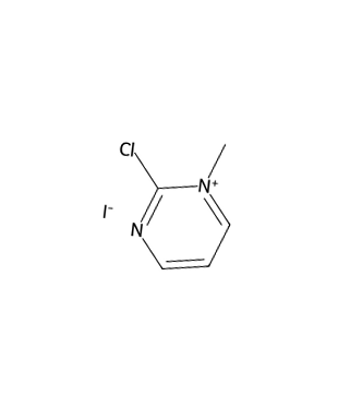 C[n+]1cccnc1Cl.[I-]